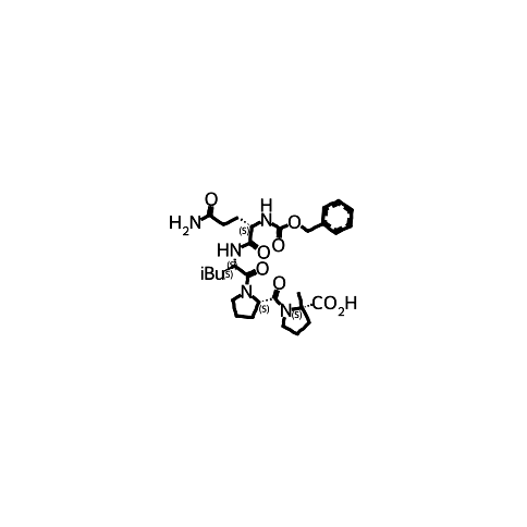 CC[C@H](C)[C@H](NC(=O)[C@H](CCC(N)=O)NC(=O)OCc1ccccc1)C(=O)N1CCC[C@H]1C(=O)N1CCC[C@@]1(C)C(=O)O